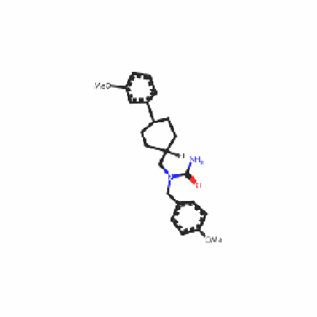 CCC1(CN(Cc2ccc(OC)cc2)C(N)=O)CCC(c2cccc(OC)c2)CC1